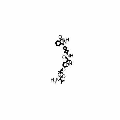 CC(C)C(N)C(=O)OC(C)(C)COc1ccc2c(C(=O)N[C@H]3CC4(C3)C[C@H](c3n[nH]c(=O)c5ccccc53)C4)cnn2c1